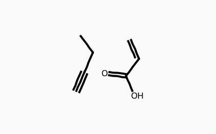 C#CCC.C=CC(=O)O